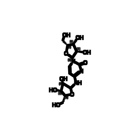 O=c1nc(NC2O[C@H](CO)[C@@H](O)[C@H]2O)ccn1[C@@H]1O[C@H](CO)[C@@H](O)[C@H]1O